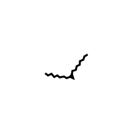 CCCCCCCCC1CC1CCCCCCCC